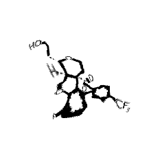 O=S(=O)(c1ccc(C(F)(F)F)cc1)[C@@]12CCO[C@@H](CCO)[C@@H]1COc1c(F)ccc(F)c12